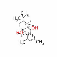 Cc1cc(C)c(C)c(C(O)[C@@H]2[C@@]3(C)CCCC(C)(C)C3CC[C@@]2(C)O)c1